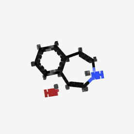 Br.C1=Cc2ccccc2C=CN1